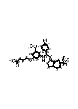 COc1cc(NC(CN2CCc3ccc(S(F)(F)(F)(F)F)cc32)c2ccc(Cl)cc2)cc(OCCCC(=O)O)c1